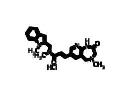 CN1CC(=O)Nc2ncc(/C=C/C(=O)N(C)Cc3cc4ccccc4n3C)cc2C1.Cl